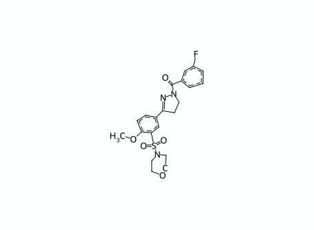 COc1ccc(C2=NN(C(=O)c3cccc(F)c3)CC2)cc1S(=O)(=O)N1CCOCC1